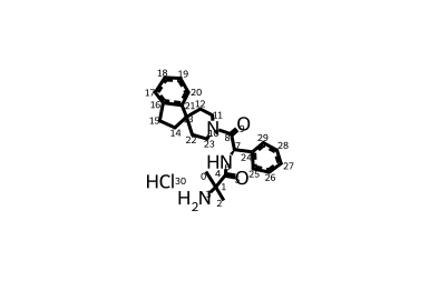 CC(C)(N)C(=O)N[C@@H](C(=O)N1CCC2(CCc3ccccc32)CC1)c1ccccc1.Cl